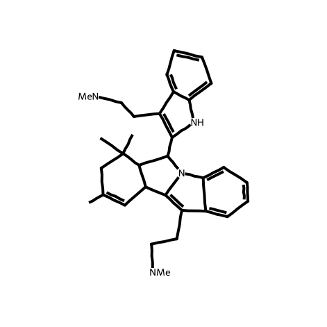 CNCCc1c(C2C3C(C=C(C)CC3(C)C)c3c(CCNC)c4ccccc4n32)[nH]c2ccccc12